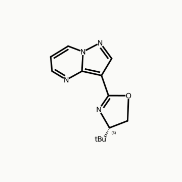 CC(C)(C)[C@H]1COC(c2cnn3cccnc23)=N1